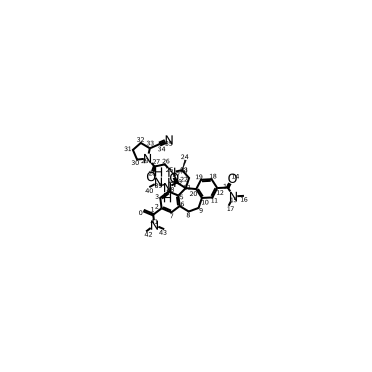 C=C(c1ccc2c(c1)CCc1cc(C(=O)N(C)C)ccc1C2(C[C@H](C)NCC(=O)N1CCCC1C#N)C(=O)NNC)N(C)C